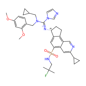 COc1ccc(CN(CC2CC2)/C(=N/[C@@H]2CCc3c2cc(S(=O)(=O)NCC(C)(C)F)c2cc(C4CC4)ncc32)n2ccnc2)c(OC)c1